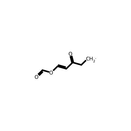 [CH2]CC(=O)C=COC=O